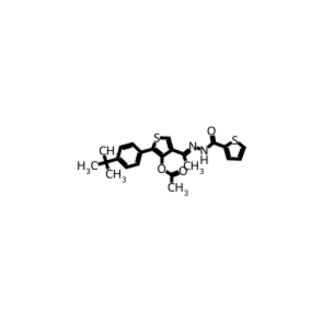 CC(=O)Oc1c(C(C)=NNC(=O)c2cccs2)csc1-c1ccc(C(C)(C)C)cc1